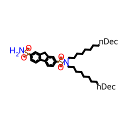 CCCCCCCCCCCCCCCCCCN(CCCCCCCCCCCCCCCCCC)S(=O)(=O)c1ccc2c(c1)Cc1cc(S(N)(=O)=O)ccc1-2